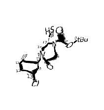 CC(C)(C)OC(=O)N1CC(=O)N(c2cccc(Cl)c2)C[C@@H]1CS